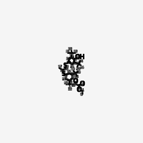 CCOC(=O)COc1c(C(C)(C)C)cc(SC(C)CSc2cc(C(C)(C)C)c(O)c(C(C)(C)C)c2)cc1C(C)(C)C